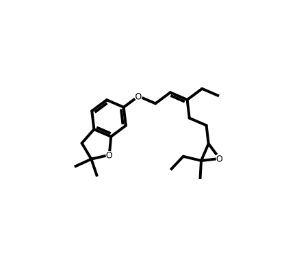 CCC(=CCOc1ccc2c(c1)OC(C)(C)C2)CCC1OC1(C)CC